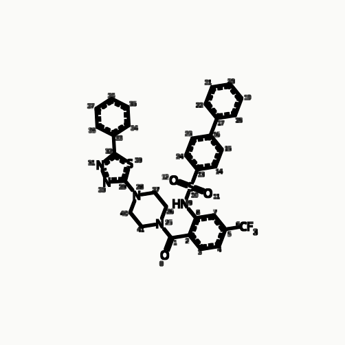 O=C(c1ccc(C(F)(F)F)cc1NS(=O)(=O)c1ccc(-c2ccccc2)cc1)N1CCN(c2nnc(-c3ccccc3)s2)CC1